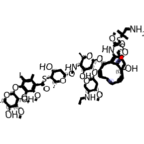 CCN[C@H]1CO[C@@H](O[C@H]2[C@H](O[C@H]3C#C/C=C/C#C[C@]4(O)CC(=O)C(NC(=O)OC)=C3/C4=C\CSSC(C)(C)CN)O[C@H](C)[C@@H](NO[C@H]3C[C@H](O)[C@H](SC(=O)c4c(C)c(I)c(O[C@@H]5O[C@@H](C)[C@H](O)[C@@H](OC)[C@H]5O)c(OC)c4OC)[C@@H](C)O3)[C@@H]2O)C[C@@H]1OC